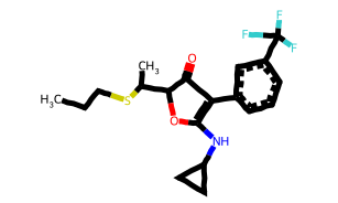 CCCSC(C)C1OC(NC2CC2)=C(c2cccc(C(F)(F)F)c2)C1=O